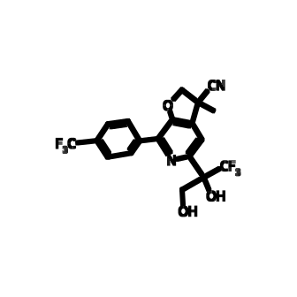 CC1(C#N)COc2c1cc(C(O)(CO)C(F)(F)F)nc2-c1ccc(C(F)(F)F)cc1